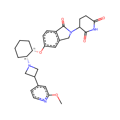 COc1cc(C2CN([C@@H]3CCCC[C@@H]3Oc3ccc4c(c3)CN(C3CCC(=O)NC3=O)C4=O)C2)ccn1